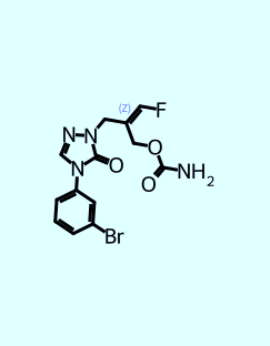 NC(=O)OC/C(=C\F)Cn1ncn(-c2cccc(Br)c2)c1=O